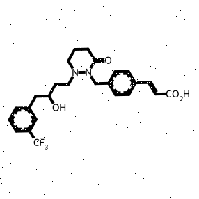 O=C(O)C=Cc1ccc(CN2C(=O)CCCN2CCC(O)Cc2cccc(C(F)(F)F)c2)cc1